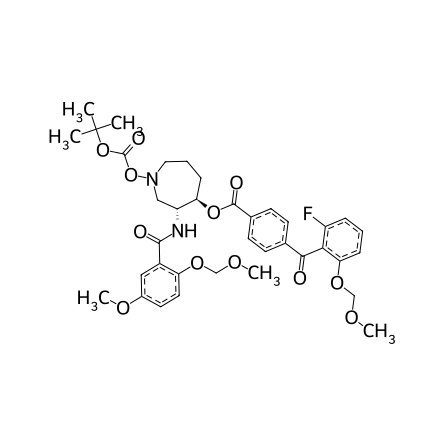 COCOc1ccc(OC)cc1C(=O)N[C@@H]1CN(OC(=O)OC(C)(C)C)CCC[C@H]1OC(=O)c1ccc(C(=O)c2c(F)cccc2OCOC)cc1